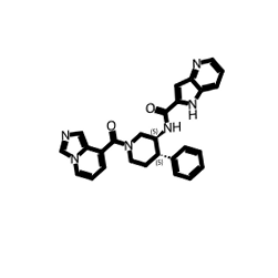 O=C(N[C@@H]1CN(C(=O)c2cccn3cncc23)CC[C@H]1c1ccccc1)c1cc2ncccc2[nH]1